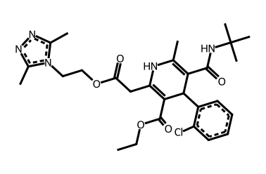 CCOC(=O)C1=C(CC(=O)OCCn2c(C)nnc2C)NC(C)=C(C(=O)NC(C)(C)C)C1c1ccccc1Cl